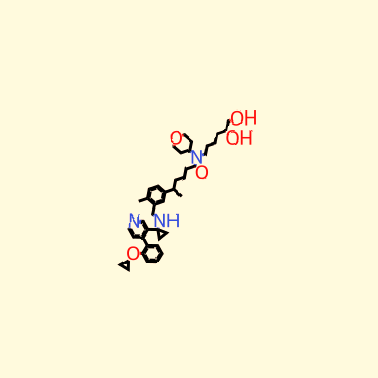 Cc1ccc(C(C)CCCC(=O)N(CCCCC(O)CO)C2CCOCC2)cc1CNC1(c2cnccc2-c2ccccc2OC2CC2)CC1